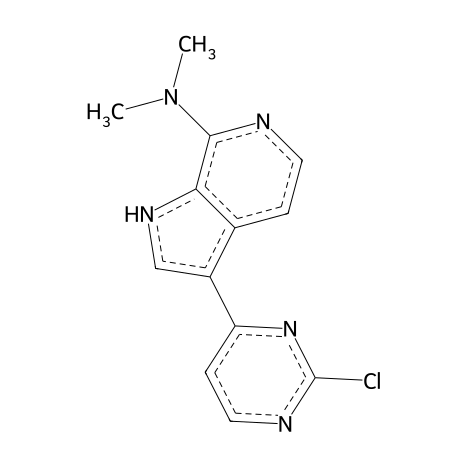 CN(C)c1nccc2c(-c3ccnc(Cl)n3)c[nH]c12